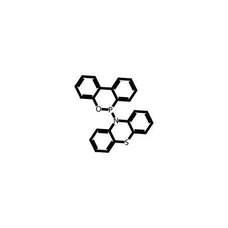 c1ccc2c(c1)OP(N1c3ccccc3Sc3ccccc31)c1ccccc1-2